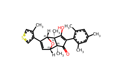 Cc1cc(C)c(C2=C(O)[C@]3(C)[C@@H]4O[C@@H](C=C4c4cscc4C)[C@]3(C)C2=O)c(C)c1